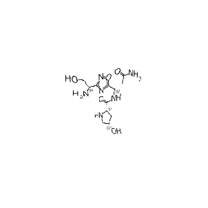 NC(=O)C[C@H](NC(=O)[C@@H]1C[C@H](O)CN1)c1nc([C@@H](N)CO)no1